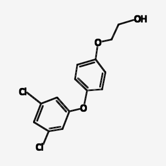 OCCOc1ccc(Oc2cc(Cl)cc(Cl)c2)cc1